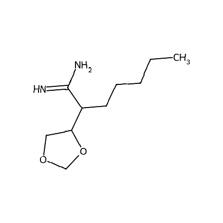 CCCCCC(C(=N)N)C1COCO1